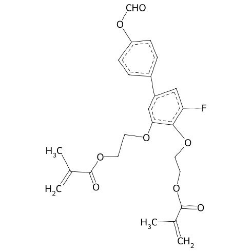 C=C(C)C(=O)OCCOc1cc(-c2ccc(OC=O)cc2)cc(F)c1OCCOC(=O)C(=C)C